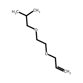 C=CCOCCOCC(C)C